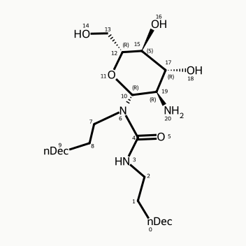 CCCCCCCCCCCCNC(=O)N(CCCCCCCCCCCC)[C@@H]1O[C@H](CO)[C@@H](O)[C@H](O)[C@H]1N